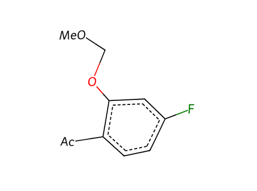 COCOc1cc(F)ccc1C(C)=O